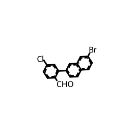 O=Cc1ccc(Cl)cc1-c1ccc2ccc(Br)cc2c1